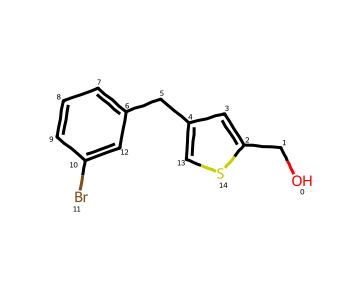 OCc1cc(Cc2cccc(Br)c2)cs1